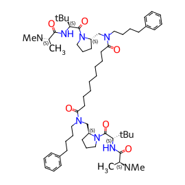 CN[C@@H](C)C(=O)N[C@H](C(=O)N1CCC[C@H]1CN(CCCCc1ccccc1)C(=O)CCCCCCCCC(=O)N(CCCCc1ccccc1)C[C@@H]1CCCN1C(=O)[C@@H](NC(=O)[C@H](C)NC)C(C)(C)C)C(C)(C)C